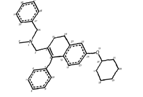 CN(CC1=C(c2ccccc2)c2ccc(OC3CCCCC3)cc2CC1)Cc1ccccc1